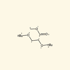 CCCCOCCOCCCC.COC=O